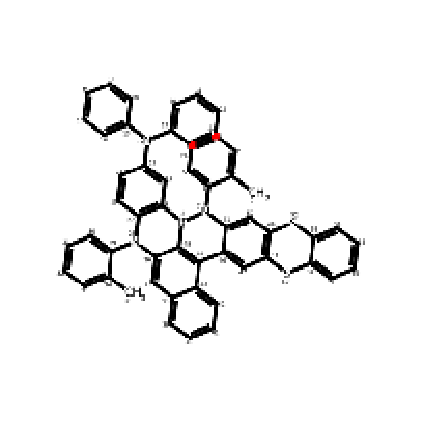 Cc1ccccc1N1B2c3cc(N(c4ccccc4)c4ccccc4)ccc3N(c3ccccc3C)c3cc4ccccc4c(c32)-c2cc3c(cc21)Sc1ccccc1S3